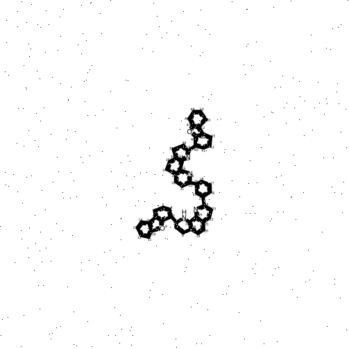 C1=CC(c2cccc3c2oc2ccccc23)Nc2c1ccc1ccc(-c3cccc(-c4ccc5ccc6ccc(-c7cccc8c7oc7ccccc78)nc6c5n4)c3)nc21